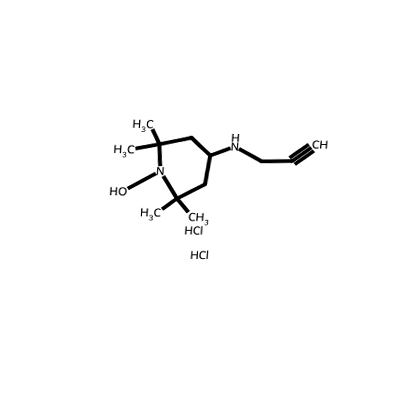 C#CCNC1CC(C)(C)N(O)C(C)(C)C1.Cl.Cl